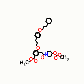 CCOC(=O)c1ccc(OCCCc2ccc(OCCCC3CCCCC3)cc2)c(CC(=O)N2CCC(OC(=O)OC)CC2)c1